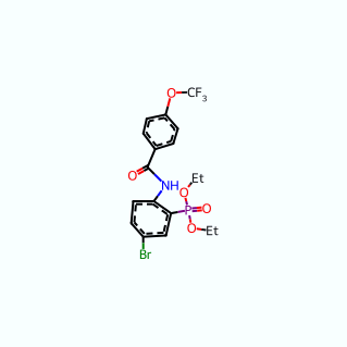 CCOP(=O)(OCC)c1cc(Br)ccc1NC(=O)c1ccc(OC(F)(F)F)cc1